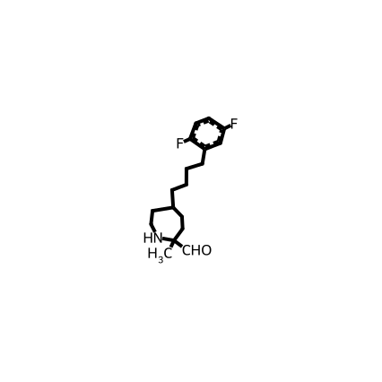 CC1(C=O)CCC(CCCCc2cc(F)ccc2F)CCN1